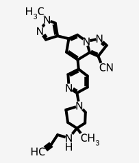 C#CCNC1(C)CCN(c2ccc(-c3cc(-c4cnn(C)c4)cn4ncc(C#N)c34)cn2)CC1